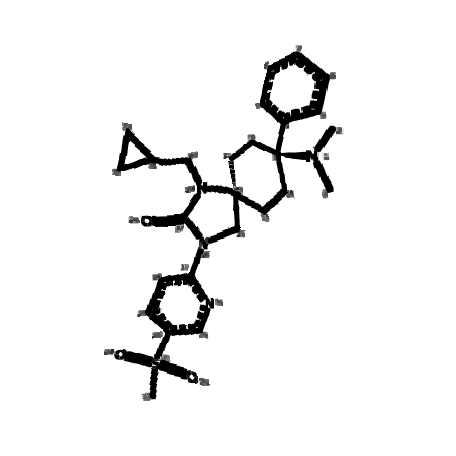 CN(C)[C@]1(c2ccccc2)CC[C@]2(CC1)CN(c1ccc(S(C)(=O)=O)cn1)C(=O)N2CC1CC1